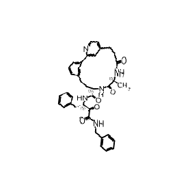 C[C@@H]1NC(=O)CCc2ccnc(c2)-c2cccc(c2)CC[C@@H](C(=O)N[C@@H](Cc2ccccc2)C(=O)C(=O)NCc2ccccc2)NC1=O